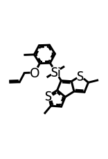 C=CCOc1c(C)cccc1[Si](C)(C)C1=C2SC(C)C=C2c2cc(C)sc21